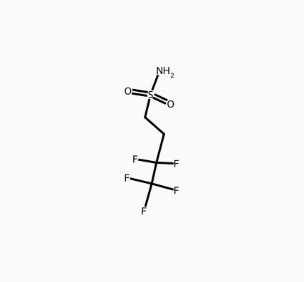 NS(=O)(=O)CCC(F)(F)C(F)(F)F